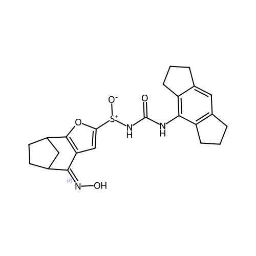 O=C(Nc1c2c(cc3c1CCC3)CCC2)N[S+]([O-])c1cc2c(o1)C1CCC(C1)/C2=N/O